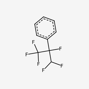 FC(F)C(F)(c1ccccc1)C(F)(F)F